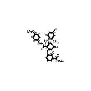 CNC(=O)c1cccc(Oc2cc(=O)n(C)c(Nc3ccc(I)cc3F)c2C(=O)NCc2ccc(OC)cc2)c1C